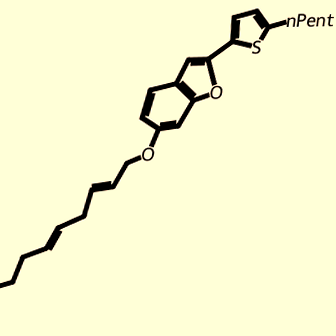 CCCCCc1ccc(-c2cc3ccc(OC/C=C/C/C=C/CCCO)cc3o2)s1